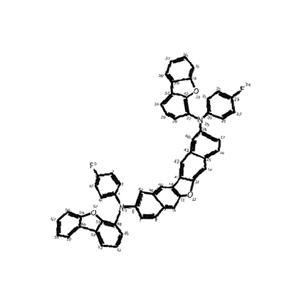 Fc1ccc(N(c2ccc3cc4oc5cc6ccc(N(c7ccc(F)cc7)c7cccc8c7oc7ccccc78)cc6cc5c4cc3c2)c2cccc3c2oc2ccccc23)cc1